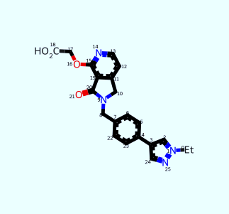 CCn1cc(-c2ccc(CN3Cc4ccnc(OCC(=O)O)c4C3=O)cc2)cn1